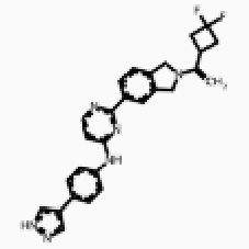 C=C(C1CC(F)(F)C1)N1Cc2ccc(-c3nccc(Nc4ccc(-c5cn[nH]c5)cc4)n3)cc2C1